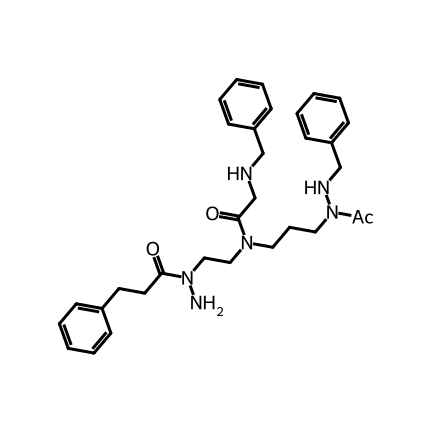 CC(=O)N(CCCN(CCN(N)C(=O)CCc1ccccc1)C(=O)CNCc1ccccc1)NCc1ccccc1